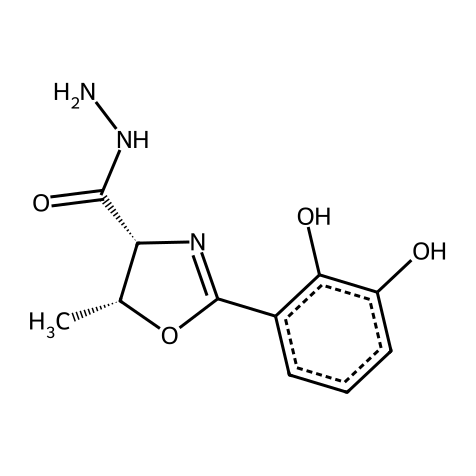 C[C@H]1OC(c2cccc(O)c2O)=N[C@H]1C(=O)NN